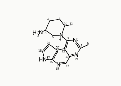 Cc1nc(N2CC(N)CCC2C)c2c(cnc3[nH]ccc32)n1